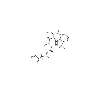 C=CC(=C)C(C)(C)/C(C)=C/C(=C)C[C@@H](C)c1ccccc1NC1C(C(C)C)=CC=CC1C(C)C